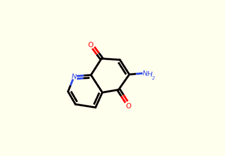 NC1=CC(=O)c2ncccc2C1=O